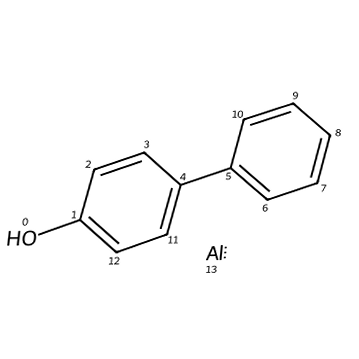 Oc1ccc(-c2ccccc2)cc1.[Al]